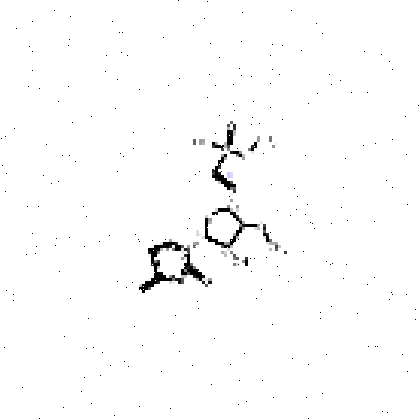 COC1[C@@H](/C=C/P(=O)(O)OC)O[C@@H](n2ccc(=O)[nH]c2=O)[C@H]1O